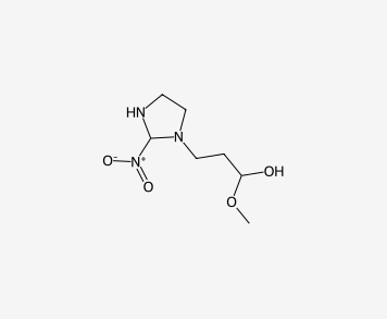 COC(O)CCN1CCNC1[N+](=O)[O-]